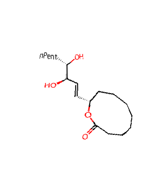 CCCCC[C@H](O)[C@H](O)/C=C/[C@@H]1CCCCCCCC(=O)O1